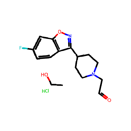 CCO.Cl.O=CCN1CCC(c2noc3cc(F)ccc23)CC1